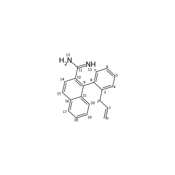 C=CCc1ccccc1-c1c(C(=N)N)ccc2ccccc12